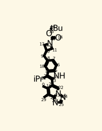 Cc1c(-c2[nH]c3ccc(CC4CN(C(=O)OC(C)(C)C)C4)cc3c2C(C)C)cn2ncnc2c1C